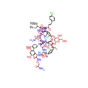 CN[C@H](CC(C)C)C(=O)N[C@H]1C(=O)N[C@@H](CC(N)=O)C(=O)N[C@H]2C(=O)N[C@H]3C(=O)N[C@H](C(=O)N[C@@H](C(=O)NOCC(N)=O)c4cc(O)cc(O)c4-c4cc3ccc4O)[C@H](O)c3ccc(c(Cl)c3)Oc3cc2cc(c3O[C@@H]2O[C@H](CO)[C@@H](O)[C@H](O)[C@H]2O[C@H]2C[C@](C)(NCCn3ccc(NC(=O)/C=C/c4ccc(Cl)cc4)nc3=O)[C@H](O)[C@H](C)O2)Oc2ccc(cc2Cl)[C@H]1O